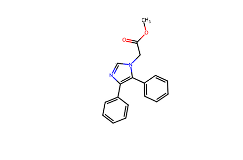 COC(=O)Cn1[c]nc(-c2ccccc2)c1-c1ccccc1